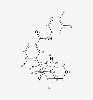 Cc1cc(NC(=O)c2ccc(F)c(C(F)(F)C(=O)N3[C@@H]4COC[C@H]3CC(=O)C4)c2)ccc1F